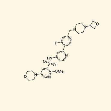 COc1ncc(N2CCOCC2)cc1S(=O)(=O)Nc1ccnc(-c2ccc(CN3CCN(C4COC4)CC3)cc2F)c1